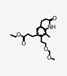 CCOC(=O)CCc1cc2c(c(C)c1CCOCOC)NC(=O)CC2